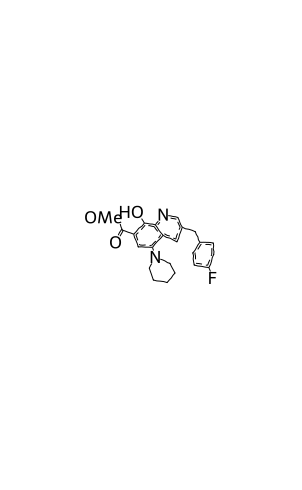 COC(=O)c1cc(N2CCCCC2)c2cc(Cc3ccc(F)cc3)cnc2c1O